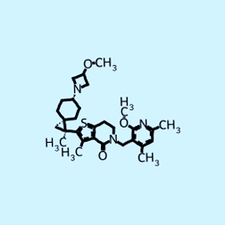 COc1nc(C)cc(C)c1CN1CCc2sc([C@@]3(C)C[C@]34CC[C@@H](N3CC(OC)C3)CC4)c(C)c2C1=O